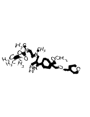 COCC1(COCC2CCOCC2)CCC(c2n[nH]cc2CN(C)CCN(C)C(=O)OC(C)(C)C)CC1